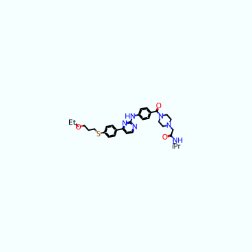 CCOCCCSc1ccc(-c2ccnc(Nc3ccc(C(=O)N4CCN(CC(=O)NC(C)C)CC4)cc3)n2)cc1